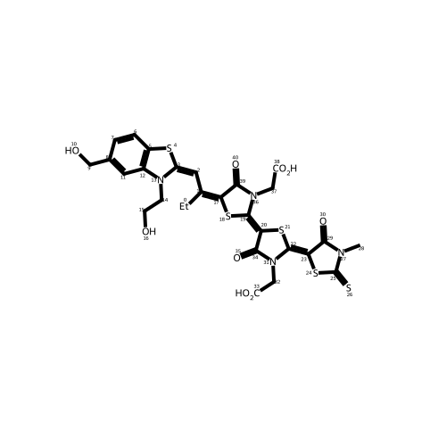 CC/C(C=C1Sc2ccc(CO)cc2N1CCO)=c1\s/c(=c2/s/c(=C3/SC(=S)N(C)C3=O)n(CC(=O)O)c2=O)n(CC(=O)O)c1=O